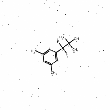 Cc1cc(N)cc(C(F)(F)C(C)(C)O)c1